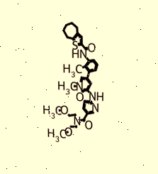 COCCN(CCOC)C(=O)c1ccc(Nc2cc(-c3cccc(NC(=O)c4cc5c(s4)CCCCC5)c3C)cn(C)c2=O)nc1